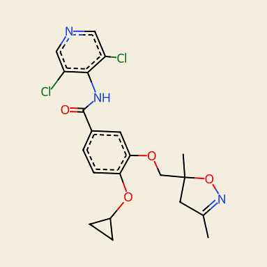 CC1=NOC(C)(COc2cc(C(=O)Nc3c(Cl)cncc3Cl)ccc2OC2CC2)C1